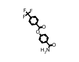 NC(=O)c1ccc(OC(=O)c2ccc(C(F)(F)F)cc2)cc1